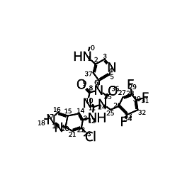 CNc1cncc(-n2c(=O)nc(Nc3cc4cn(C)nc4cc3Cl)n(Cc3cc(F)c(F)cc3F)c2=O)c1